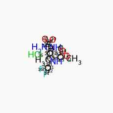 COc1ccc(C(NC(C)c2ccc(F)c(F)c2)c2cccc(Nc3c(N)c(=O)c3=O)c2)cc1OC.Cl